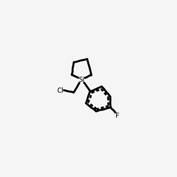 Fc1ccc([Si]2(CCl)CCCC2)cc1